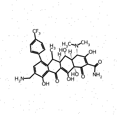 CC1c2c(-c3ccc(C(F)(F)F)cc3)cc(CN)c(O)c2C(=O)C2=C(O)[C@]3(O)C(=O)C(C(N)=O)=C(O)[C@@H](N(C)C)[C@@H]3[C@@H](O)[C@@H]21